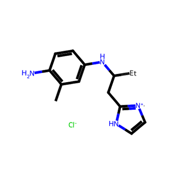 CCC(CC1=[N+]C=CN1)Nc1ccc(N)c(C)c1.[Cl-]